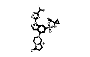 N#CC1(NS(=O)(=O)c2cc(N3CCN4C(=O)CC[C@@H]4C3)c3cnn(-c4nnc(C(F)F)s4)c3c2)CC1